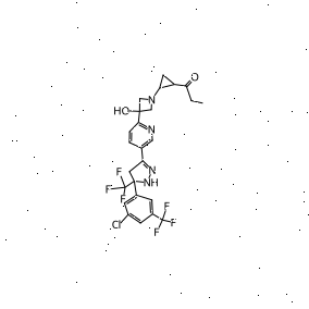 CCC(=O)C1CC1N1CC(O)(c2ccc(C3=NNC(c4cc(Cl)cc(C(F)(F)F)c4)(C(F)(F)F)C3)cn2)C1